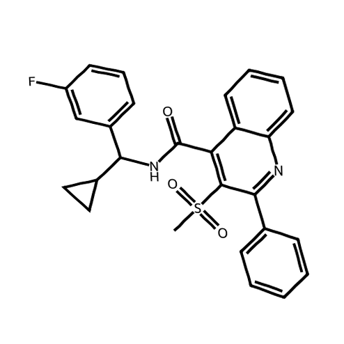 CS(=O)(=O)c1c(-c2ccccc2)nc2ccccc2c1C(=O)NC(c1cccc(F)c1)C1CC1